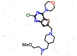 COCCN(C)CC1CCN(Cc2cc3nc(Cl)nc(N4CCOCC4)c3s2)CC1